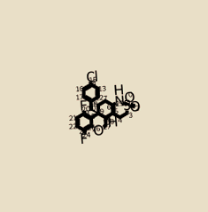 O=S1(=O)CCC2=C(CC[C@@]3(Cc4ccc(Cl)cc4)c4c(F)ccc(F)c4OC[C@@H]23)N1